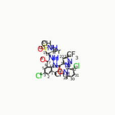 Cc1cc(Cl)cc(C(=O)NC(CS(C)(=N)=O)C(C)C)c1NC(=O)c1cc(C(F)(F)F)nn1-c1ncccc1Cl